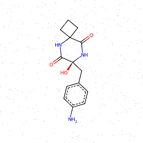 Nc1ccc(C[C@@]2(O)NC(=O)C3(CCC3)NC2=O)cc1